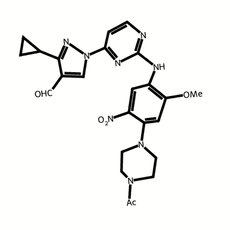 COc1cc(N2CCN(C(C)=O)CC2)c([N+](=O)[O-])cc1Nc1nccc(-n2cc(C=O)c(C3CC3)n2)n1